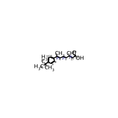 CC(/C=C/C=C(\C)c1ccc(C(C)(C)C)cc1)=C\C(=O)O